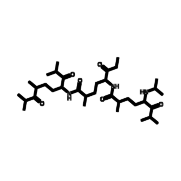 CCC(=O)C(CCC(C)C(=O)NC(CCC(C)C(=O)C(C)C)C(=O)C(C)C)NC(=O)C(C)CCC(NC(C)C)C(=O)C(C)C